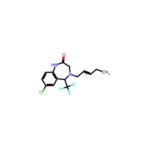 CC/C=C/CN1CC(=O)Nc2ccc(Cl)cc2C1C(F)(F)F